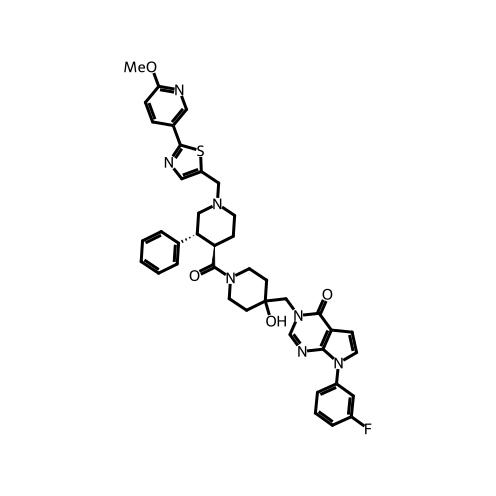 COc1ccc(-c2ncc(CN3CC[C@@H](C(=O)N4CCC(O)(Cn5cnc6c(ccn6-c6cccc(F)c6)c5=O)CC4)[C@H](c4ccccc4)C3)s2)cn1